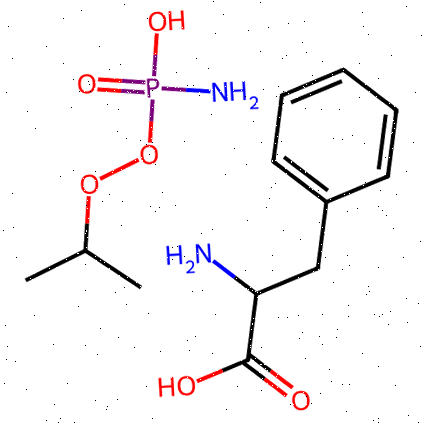 CC(C)OOP(N)(=O)O.NC(Cc1ccccc1)C(=O)O